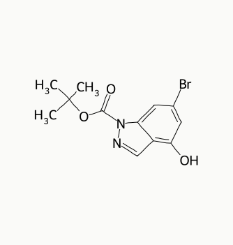 CC(C)(C)OC(=O)n1ncc2c(O)cc(Br)cc21